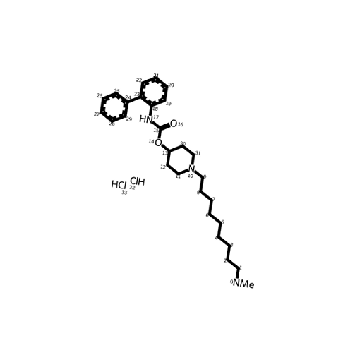 CNCCCCCCCCCN1CCC(OC(=O)Nc2ccccc2-c2ccccc2)CC1.Cl.Cl